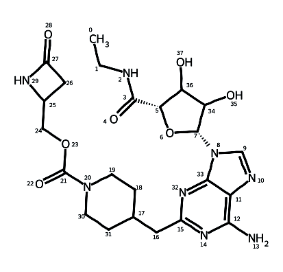 CCNC(=O)[C@H]1O[C@@H](n2cnc3c(N)nc(CC4CCN(C(=O)OCC5CC(=O)N5)CC4)nc32)C(O)C1O